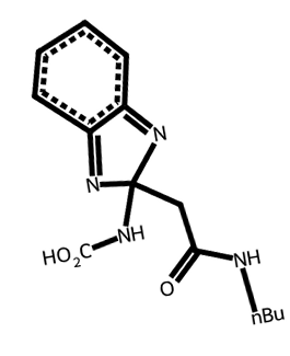 CCCCNC(=O)CC1(NC(=O)O)N=c2ccccc2=N1